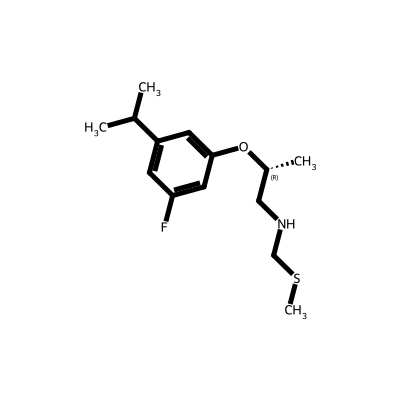 CSCNC[C@@H](C)Oc1cc(F)cc(C(C)C)c1